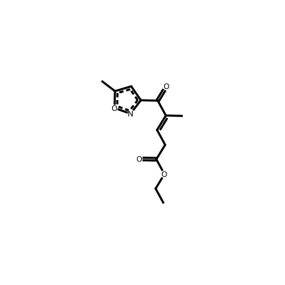 CCOC(=O)CC=C(C)C(=O)c1cc(C)on1